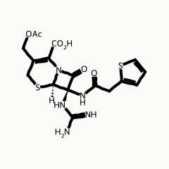 CC(=O)OCC1=C(C(=O)O)N2C(=O)[C@](NC(=N)N)(NC(=O)Cc3cccs3)[C@H]2SC1